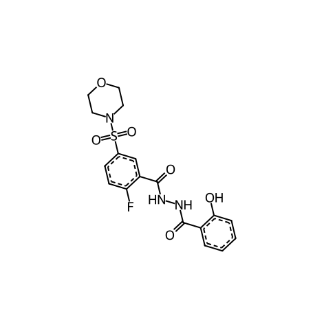 O=C(NNC(=O)c1cc(S(=O)(=O)N2CCOCC2)ccc1F)c1ccccc1O